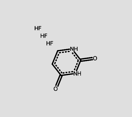 F.F.F.O=c1cc[nH]c(=O)[nH]1